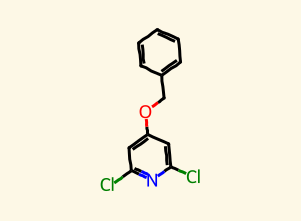 Clc1cc(OCc2ccccc2)cc(Cl)n1